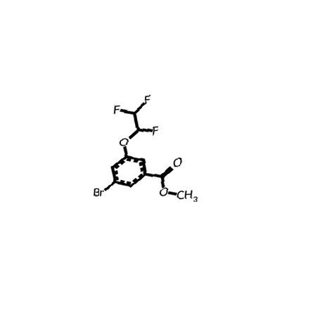 COC(=O)c1cc(Br)cc(OC(F)C(F)F)c1